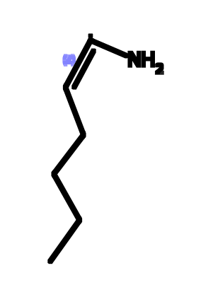 CCCC/C=[C]\N